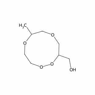 CC1COCC(CO)OOCCO1